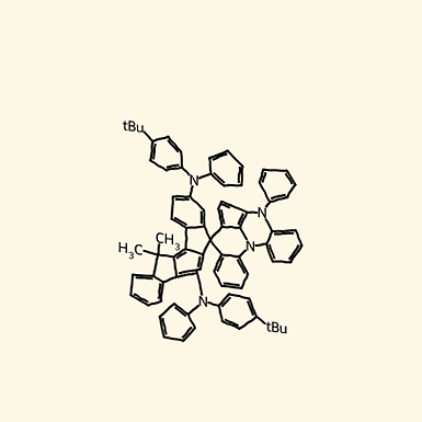 CC(C)(C)c1ccc(N(c2ccccc2)c2ccc3c(c2)C2(c4ccccc4N4c5ccccc5N(c5ccccc5)c5cccc2c54)c2cc(N(c4ccccc4)c4ccc(C(C)(C)C)cc4)c4c(c2-3)C(C)(C)c2ccccc2-4)cc1